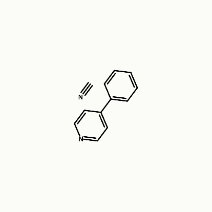 C#N.c1ccc(-c2ccncc2)cc1